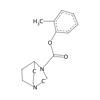 Cc1ccccc1OC(=O)N1CCN2CCC1CC2